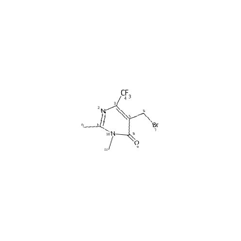 Cc1nc(C(F)(F)F)c(CBr)c(=O)n1C